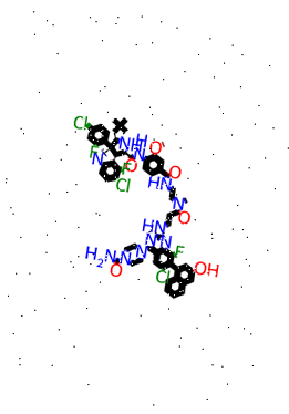 COc1cc(C(=O)NCCN(C)C(=O)CCNc2nc(N3CCN(C(N)=O)CC3)c3cc(Cl)c(-c4cc(O)cc5ccccc45)c(F)c3n2)ccc1NC(=O)[C@@H]1N[C@@H](CC(C)(C)C)[C@](C#N)(c2ccc(Cl)cc2F)[C@H]1c1cccc(Cl)c1F